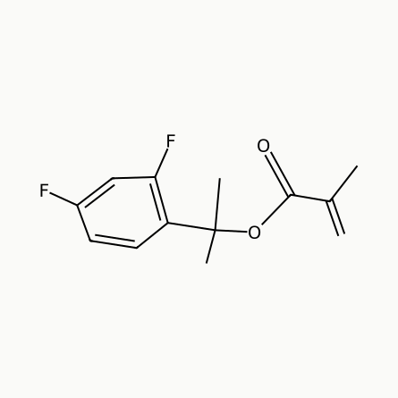 C=C(C)C(=O)OC(C)(C)c1ccc(F)cc1F